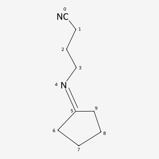 N#CCCCN=C1CCCC1